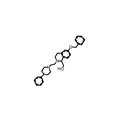 OCC1c2ccc(OCc3ccccc3)cc2CCN1CCN1CCC(c2ccccc2)CC1